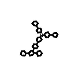 c1ccc(-c2ccc(N(c3ccc(-c4ccccc4)cc3)c3ccc(-c4ccc(-c5cc(-c6ccccc6)ccc5-c5ccccc5)cc4)cc3)cc2)cc1